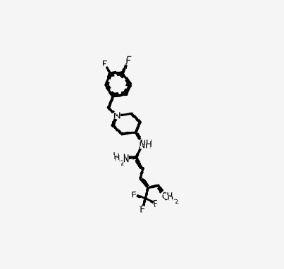 C=C/C(=C\C=C(/N)NC1CCN(Cc2ccc(F)c(F)c2)CC1)C(F)(F)F